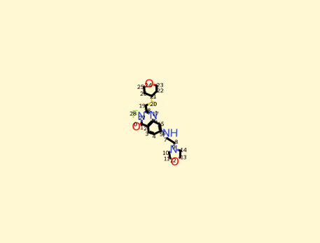 O=c1c2ccc(NCCN3CCOCC3)cc2nc(CSC2CCOCC2)n1F